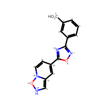 O=C(O)c1cccc(-c2noc(C3=CC4=CNON4C=C3)n2)c1